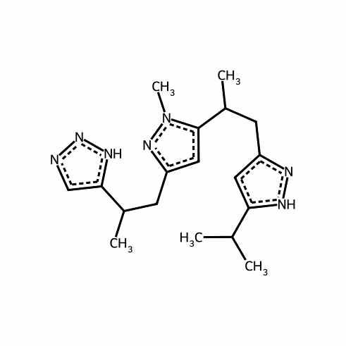 CC(C)c1cc(CC(C)c2cc(CC(C)c3cnn[nH]3)nn2C)n[nH]1